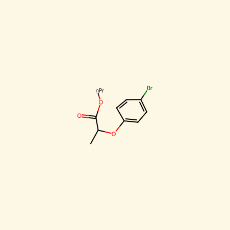 CCCOC(=O)C(C)Oc1ccc(Br)cc1